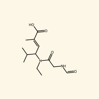 CCN(C(=O)CNC=O)C(/C=C(\C)C(=O)O)C(C)C